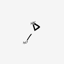 C1CN1.CO